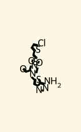 Nc1ncnc2cc(CN3CCN(S(=O)(=O)C=Cc4ccc(Cl)s4)CC3C=O)sc12